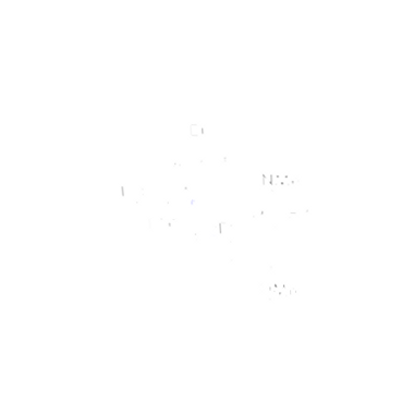 C=C/C=C(\C=C/C)C(/CC(Br)CC)=C(/NC)c1c(F)cc(OC)cc1F